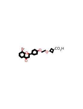 O=c1cc(-c2ccc(OCCO[C@H]3C[C@@H](C(=O)O)C3)cc2)oc2c(Br)cccc12